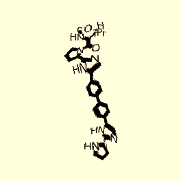 CC(C)[C@H](NC(=O)O)C(=O)N1CCCC1c1ncc(-c2ccc(-c3ccc(-c4cnc([C@@H]5CCCN5)[nH]4)cc3)cc2)[nH]1